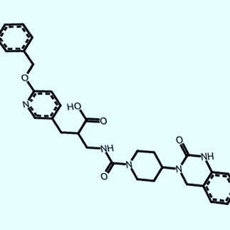 O=C(O)C(CNC(=O)N1CCC(N2Cc3ccccc3NC2=O)CC1)Cc1ccc(OCc2ccccc2)nc1